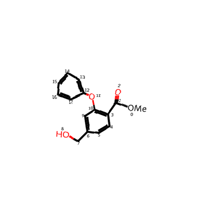 COC(=O)c1ccc(CO)cc1Oc1ccccc1